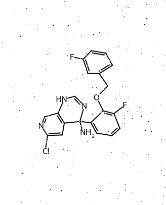 NC1(c2cccc(F)c2OCc2cccc(F)c2)N=CNc2cnc(Cl)cc21